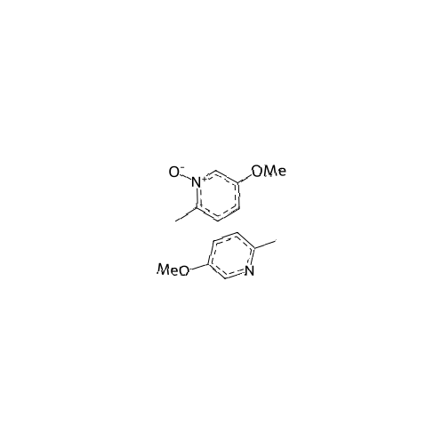 COc1ccc(C)[n+]([O-])c1.COc1ccc(C)nc1